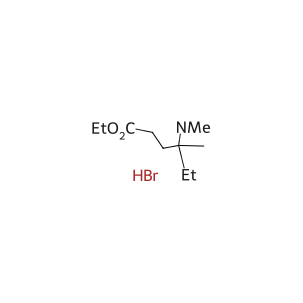 Br.CCOC(=O)CCC(C)(CC)NC